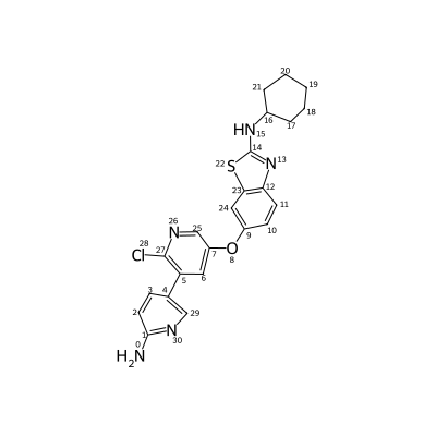 Nc1ccc(-c2cc(Oc3ccc4nc(NC5CCCCC5)sc4c3)cnc2Cl)cn1